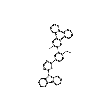 CCc1ccc(-c2ncnc(-n3c4ccccc4c4ccccc43)n2)cc1-c1cc2c3ccccc3c3ccccc3c2cc1C